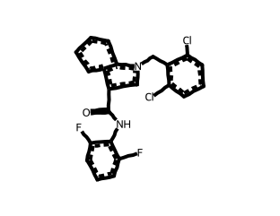 O=C(Nc1c(F)cccc1F)c1cn(Cc2c(Cl)cccc2Cl)c2ccccc12